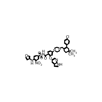 CC1(C)CCC(CN2CCN(c3ccc(C(=O)NS(=O)(=O)c4ccc(Nc5ccoc5)c([N+](=O)[O-])c4)c(Oc4cnc5[nH]ccc5c4)c3)CC2)=C(c2ccc(Cl)cc2)C1